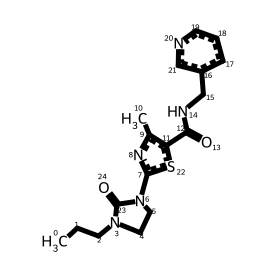 CCCN1CCN(c2nc(C)c(C(=O)NCc3cccnc3)s2)C1=O